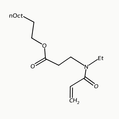 C=CC(=O)N(CC)CCC(=O)OCCCCCCCCCC